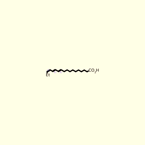 CC\C=C/C=C/C=C/CCCCCCCCCC(=O)O